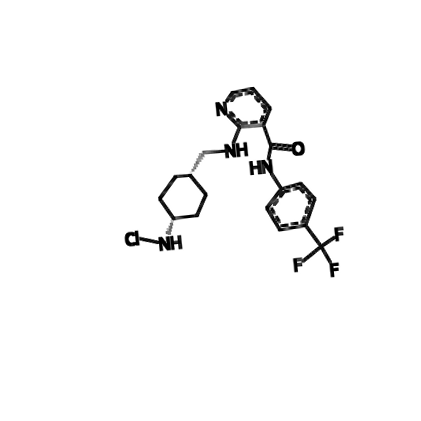 O=C(Nc1ccc(C(F)(F)F)cc1)c1cccnc1NC[C@H]1CC[C@@H](NCl)CC1